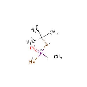 CCP(=O)(S)SC(C)(C)C